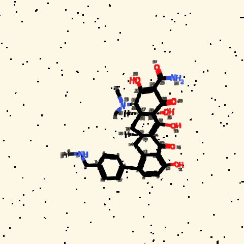 CC(C)NCc1ccc(-c2ccc(O)c3c2C[C@H]2C[C@H]4[C@H](N(C)C)C(O)=C(C(N)=O)C(=O)[C@@]4(O)C(O)=C2C3=O)cc1